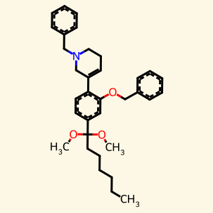 CCCCCCC(OC)(OC)c1ccc(C2=CCCN(Cc3ccccc3)C2)c(OCc2ccccc2)c1